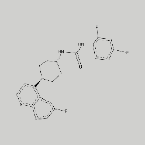 O=C(Nc1ccc(F)cc1F)N[C@H]1CC[C@H](c2ccnc3ccc(F)cc32)CC1